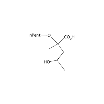 CCCCCOC(C)(CC(C)O)C(=O)O